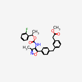 COC(=O)Cc1cccc(Cc2ccc(-c3onc(C)c3NC(=O)O[C@H](C)c3ccccc3F)cc2)c1